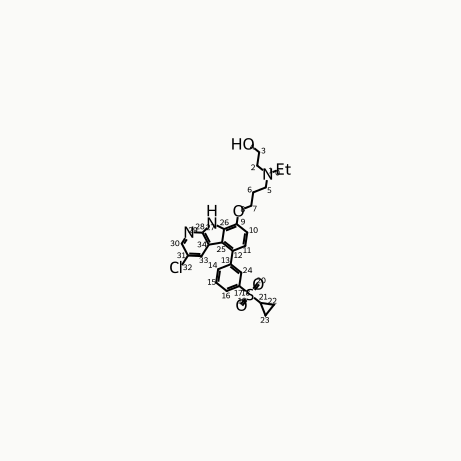 CCN(CCO)CCCOc1ccc(-c2cccc(S(=O)(=O)C3CC3)c2)c2c1[nH]c1ncc(Cl)cc12